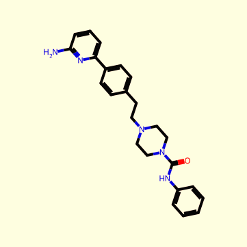 Nc1cccc(-c2ccc(CCN3CCN(C(=O)Nc4ccccc4)CC3)cc2)n1